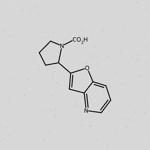 O=C(O)N1CCCC1c1cc2ncccc2o1